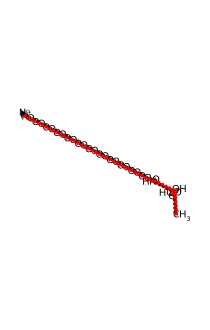 CCCCCCCCCCCC(CCCCCCCCCCC(=O)NCCOCCOCCOCCOCCOCCOCCOCCOCCOCCOCCOCCOCCOCCOCCOCCOCCOCCOCCOCCOCCOCCOCCOCCN=[N+]=[N-])(C(=O)O)C(=O)O